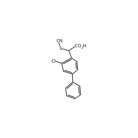 N#CSC(C(=O)O)c1ccc(-c2ccccc2)cc1Cl